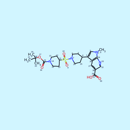 Cn1cc(C2CCN(S(=O)(=O)C3CCN(C(=O)OC(C)(C)C)CC3)CC2)c2cc(C(=O)O)cnc21